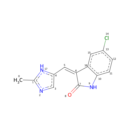 Cc1ncc(C=C2C(=O)Nc3ccc(Cl)cc32)[nH]1